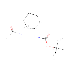 CC(=O)N[C@@H]1CCCC[C@@H]1NC(=O)OC(C)(C)C